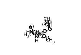 CCNC(=O)NCc1ccccc1-c1ccc(CN2C(=O)[C@H](NC(=O)CC(C)(C)NCc3ccco3)CCc3cc(OC)ccc32)cc1